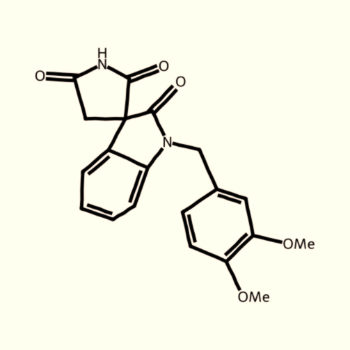 COc1ccc(CN2C(=O)C3(CC(=O)NC3=O)c3ccccc32)cc1OC